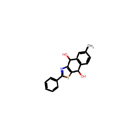 Cc1ccc2c(c1)C(O)c1nc(-c3ccccc3)sc1C2O